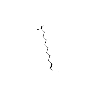 CCCCCCCCC=CCCCCCCCCC(=O)Cl